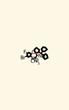 CN1C(=O)[C@@H](NC(c2ccccc2)(c2ccccc2)c2ccccc2)COc2cc(F)c(Br)cc21